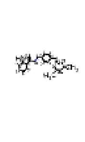 C[C@@H]1CN(Cc2ccc(/C=C/c3n[nH]c4ccccc34)cc2)C[C@H](C)O1